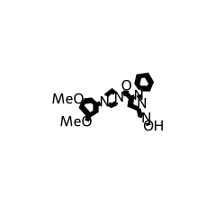 COc1cc(OC)cc(N2CCN(C(=O)c3cc(C=NO)nn3-c3ccccc3)CC2)c1